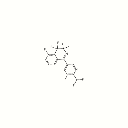 Cc1cc(C2=NC(C)(C)C(F)(F)c3c(F)cccc32)cnc1C(F)F